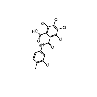 Cc1ccc(NC(=O)c2c(Cl)c(Cl)c(Cl)c(Cl)c2C(=O)O)cc1Cl